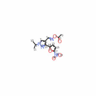 CC(=O)ON=Cc1cn(C(C)C)nc1-c1ccc([N+](=O)[O-])o1